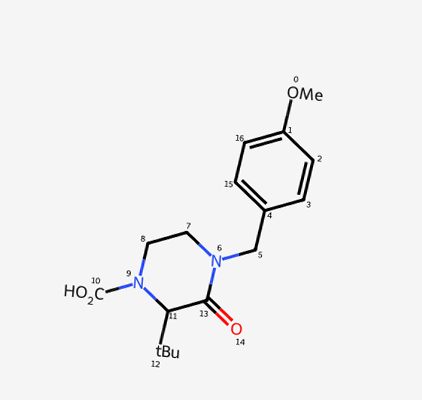 COc1ccc(CN2CCN(C(=O)O)C(C(C)(C)C)C2=O)cc1